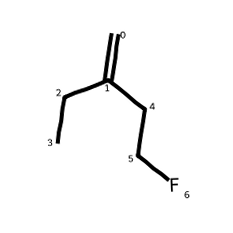 C=C(CC)CCF